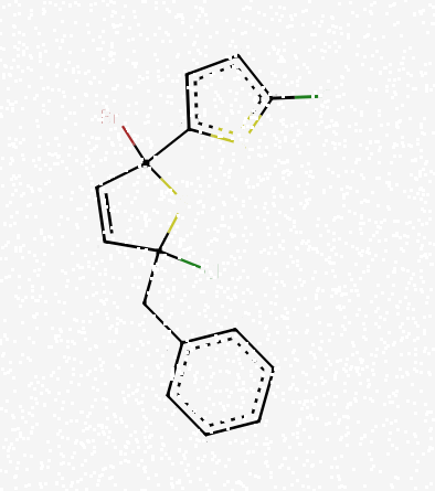 Clc1ccc(C2(Br)C=CC(Cl)(Cc3ccccc3)S2)s1